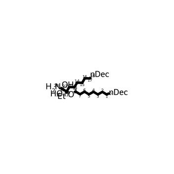 CCCCCCCCCCCCCCCCCCOC(CC)(CCCCCCCCCCCCCCCC)C(N)(O)O